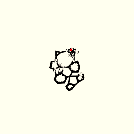 C[C@H]1N2C=CN1C1CC1N1C=CN3c4cccc5c4P(c4c2cccc4C52c4ccccc4-c4ccccc42)[C@H]31